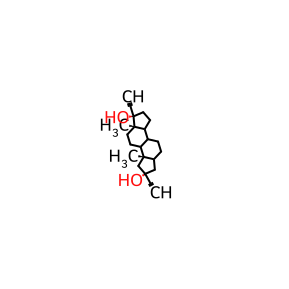 C#CC1(O)CC2CCC3C(CC[C@@]4(C)C3CC[C@@]4(O)C#C)[C@@]2(C)C1